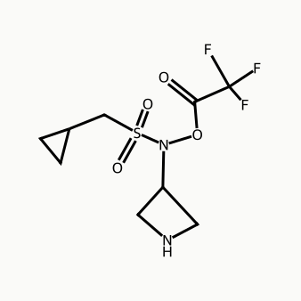 O=C(ON(C1CNC1)S(=O)(=O)CC1CC1)C(F)(F)F